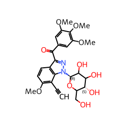 C#Cc1c(OC)ccc2c(C(=O)c3cc(OC)c(OC)c(OC)c3)nn([C@@H]3OC(CO)[C@@H](O)C(O)C3O)c12